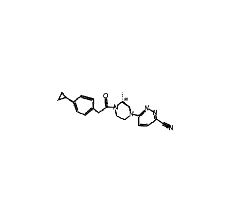 C[C@@H]1CN(c2ccc(C#N)nn2)CCN1C(=O)Cc1ccc(C2CC2)cc1